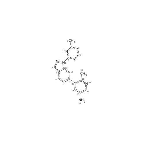 Cc1cccc(-n2ncc3ccc(-c4cc(N)cnc4C)cc32)n1